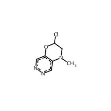 CN1CC(Cl)Oc2cnncc21